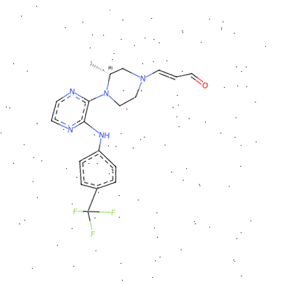 C[C@@H]1CN(C=CC=O)CCN1c1nccnc1Nc1ccc(C(F)(F)F)cc1